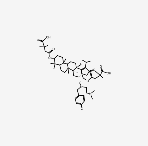 CC(C)C1=C2[C@H]3CCC4[C@@]5(C)CC[C@H](OC(=O)CC(C)(C)C(=O)O)C(C)(C)C5CC[C@@]4(C)[C@]3(C)CC[C@@]2([C@@H](CN(CCN(C)C)Cc2ccc(Cl)cc2)OC(=O)CC(C)(C)C(=O)O)CC1=O